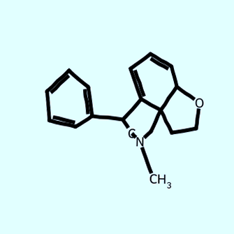 CN1CC(c2ccccc2)C2=CC=CC3OCCC23C1